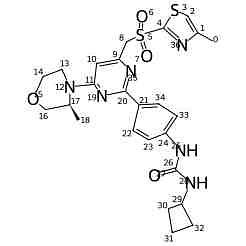 Cc1csc(S(=O)(=O)Cc2cc(N3CCOC[C@@H]3C)nc(-c3ccc(NC(=O)NC4CCC4)cc3)n2)n1